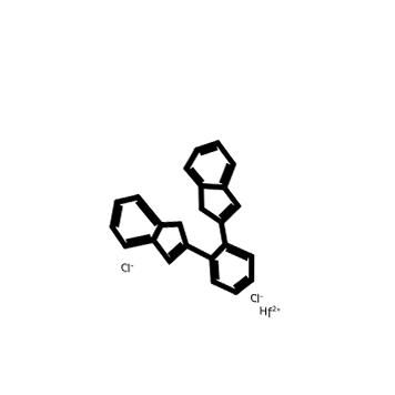 C1=C(c2ccccc2C2=Cc3ccccc3C2)Cc2ccccc21.[Cl-].[Cl-].[Hf+2]